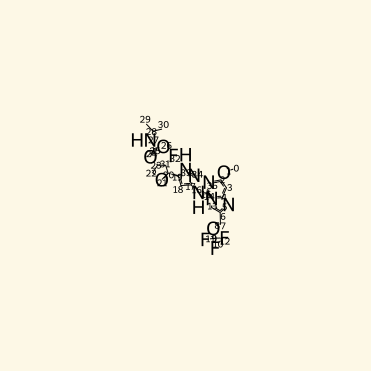 COc1cc2nc(COC(F)(F)F)cn2c(Nc2cc([C@H]3OC[C@@H](OC(=O)NC(C)C)[C@@H]3F)[nH]n2)n1